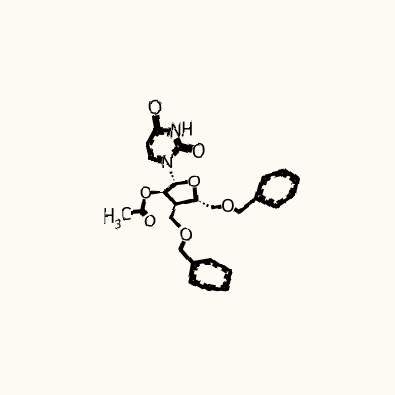 CC(=O)O[C@@H]1[C@H](COCc2ccccc2)[C@@H](COCc2ccccc2)O[C@H]1n1ccc(=O)[nH]c1=O